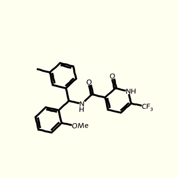 COc1ccccc1C(NC(=O)c1ccc(C(F)(F)F)[nH]c1=O)c1cccc(C)c1